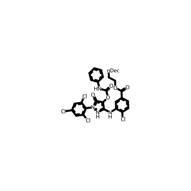 CCCCCCCCCCCCOC(=O)c1ccc(Cl)c(Nc2[nH]n(-c3c(Cl)cc(Cl)cc3Cl)c(=O)c2OC(=O)Nc2ccccc2)c1